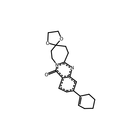 O=c1c2ccc(C3=CCCCC3)cc2nc2n1CCC1(CC2)OCCO1